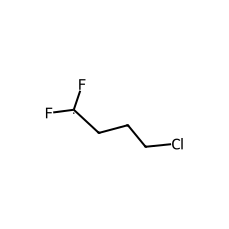 F[C](F)CCCCl